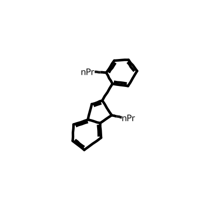 CCC[C]1C(c2ccccc2CCC)=Cc2ccccc21